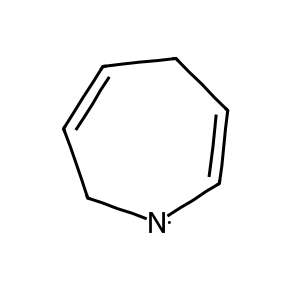 C1=CC[N]C=CC1